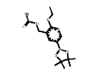 CCOc1ncc(B2OC(C)(C)C(C)(C)O2)cc1CNC(=O)O